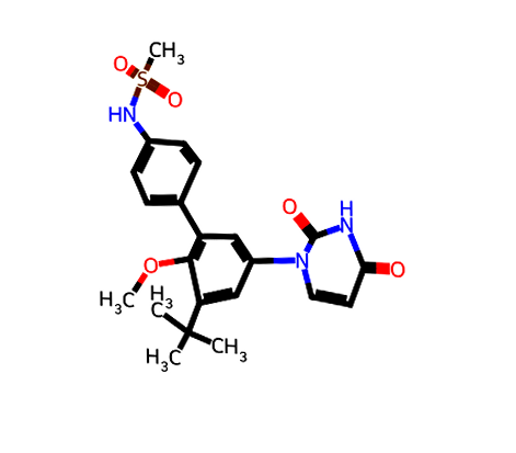 COc1c(-c2ccc(NS(C)(=O)=O)cc2)cc(-n2ccc(=O)[nH]c2=O)cc1C(C)(C)C